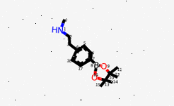 CNCCc1ccc(B2OC(C)(C)C(C)(C)O2)cc1